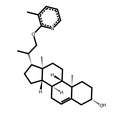 Cc1cccnc1OCC(C)[C@H]1CC[C@H]2[C@@H]3CC=C4C[C@@H](O)CC[C@]4(C)[C@H]3CC[C@]12C